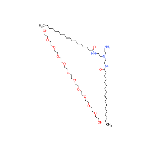 CCCCCCCCC=CCCCCCCCC(=O)NCCN(CCN)CCNC(=O)CCCCCCCC=CCCCCCCCC.OCCOCCOCCOCCOCCOCCOCCOCCOCCOCCOCCO